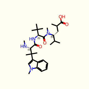 CN[C@H](C(=O)N[C@H](C(=O)N(C)[C@H](CC(C)C(=O)O)C(C)C)C(C)(C)C)C(C)(C)c1cn(C)c2ccccc12